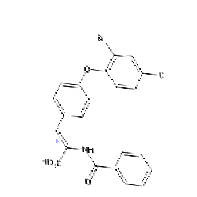 O=C(O)/C(=C/c1ccc(Oc2ccc(Cl)cc2Br)cc1)NC(=O)c1ccccc1